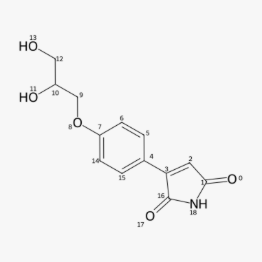 O=C1C=C(c2ccc(OCC(O)CO)cc2)C(=O)N1